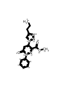 CCCc1cn(-c2cc(=O)n(-c3ccccc3)nc2C(=O)OC)nn1